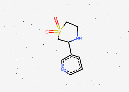 O=S1(=O)CCNC(c2[c]nccc2)C1